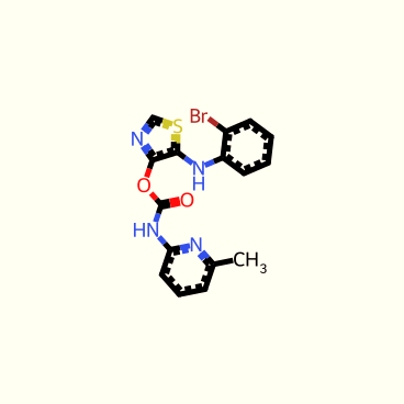 Cc1cccc(NC(=O)Oc2ncsc2Nc2ccccc2Br)n1